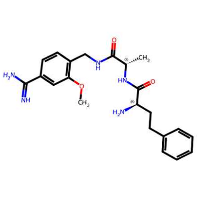 COc1cc(C(=N)N)ccc1CNC(=O)[C@H](C)NC(=O)[C@H](N)CCc1ccccc1